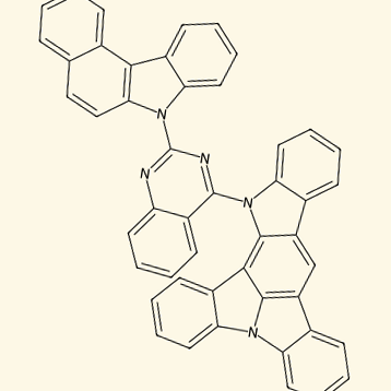 c1ccc2c(c1)ccc1c2c2ccccc2n1-c1nc(-n2c3ccccc3c3cc4c5ccccc5n5c6ccccc6c(c32)c45)c2ccccc2n1